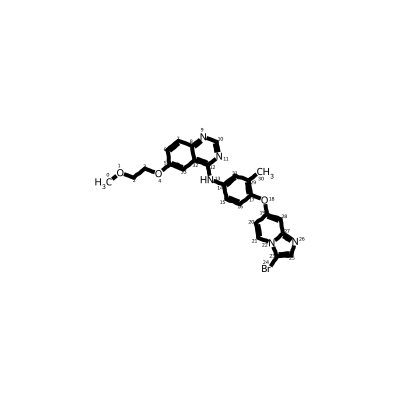 COCCOc1ccc2ncnc(Nc3ccc(Oc4ccn5c(Br)cnc5c4)c(C)c3)c2c1